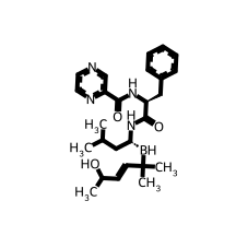 CC(O)C=CC(C)(C)B[C@H](CC(C)C)NC(=O)[C@H](Cc1ccccc1)NC(=O)c1cnccn1